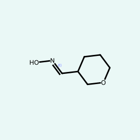 O/N=C/C1CCCOC1